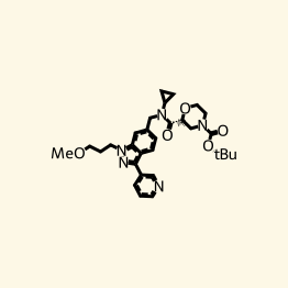 COCCCn1nc(-c2cccnc2)c2ccc(CN(C(=O)[C@H]3CN(C(=O)OC(C)(C)C)CCO3)C3CC3)cc21